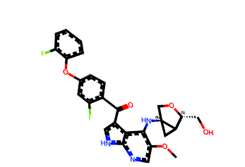 COc1cnc2[nH]cc(C(=O)c3ccc(Oc4ccccc4F)cc3F)c2c1N[C@@]12CO[C@H](CO)C1C2